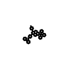 Cc1ccc(-c2cc(-c3ccc(-n4c5ccccc5c5ccccc54)cc3)c3ccc4cc(C(c5ccccc5)(c5ccccc5)c5ccccc5)cc5ccc2c3c54)cc1